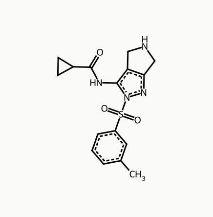 Cc1cccc(S(=O)(=O)n2nc3c(c2NC(=O)C2CC2)CNC3)c1